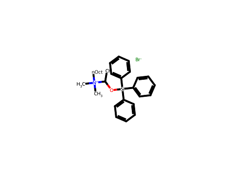 CCCCCCCC[N+](C)(C)C(C)O[Si](c1ccccc1)(c1ccccc1)c1ccccc1.[Br-]